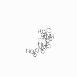 CCCCN1C(=O)[C@@H]([C@H](O)C2CCCCCC2)NC(=O)C12CCN(Cc1ccc(C(=O)Nc3ccc(C(=O)O)cc3)cc1)CC2.Cl